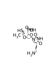 C[C@@H](OC1CC(n2cc(C#CCN)c(=O)[nH]c2=O)OC1C[PH](=O)O)SS